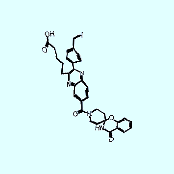 O=C(O)CCCCc1nc2cc(C(=O)N3CCC4(CC3)NC(=O)c3ccccc3O4)ccc2nc1-c1ccc(CI)cc1